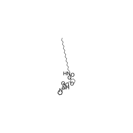 CCCCCCCCCCCCCCCCCNC(=O)OC1CCCOC1COC(=O)NC[n+]1ccccc1